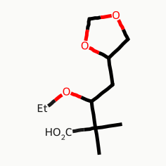 CCOC(CC1COCO1)C(C)(C)C(=O)O